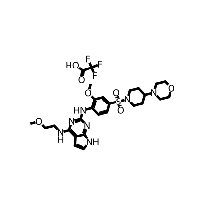 COCCNc1nc(Nc2ccc(S(=O)(=O)N3CCC(N4CCOCC4)CC3)cc2OC)nc2[nH]ccc12.O=C(O)C(F)(F)F